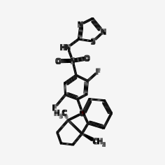 C[C@@]1(Oc2cc(F)c(S(=O)(=O)Nc3ncns3)cc2F)CCC[C@@]1(C)c1ccccc1